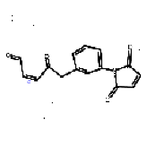 O=C/C=C\C(=O)Cc1cccc(N2C(=O)C=CC2=O)c1